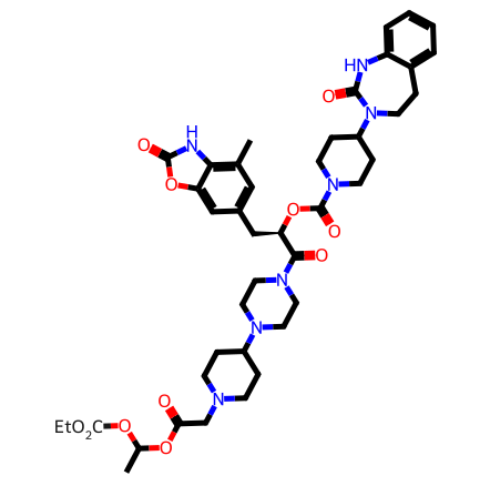 CCOC(=O)OC(C)OC(=O)CN1CCC(N2CCN(C(=O)[C@@H](Cc3cc(C)c4[nH]c(=O)oc4c3)OC(=O)N3CCC(N4CCc5ccccc5NC4=O)CC3)CC2)CC1